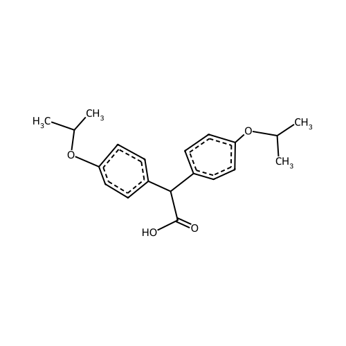 CC(C)Oc1ccc(C(C(=O)O)c2ccc(OC(C)C)cc2)cc1